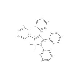 C[Si]1(C)C(c2cncnc2)=C(c2ccccc2)C(c2ccccc2)=C1c1cncnc1